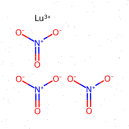 O=[N+]([O-])[O-].O=[N+]([O-])[O-].O=[N+]([O-])[O-].[Lu+3]